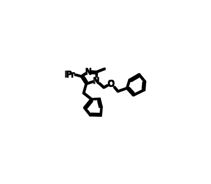 Cc1nc(C(C)C)c(Cc2ccccc2)n1COCc1ccccc1